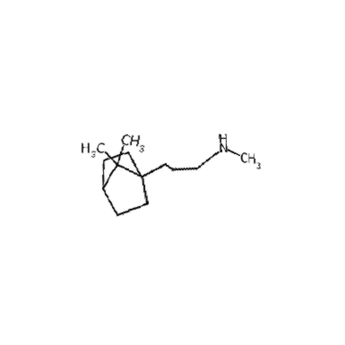 CNCCC12CCC(CC1)C2(C)C